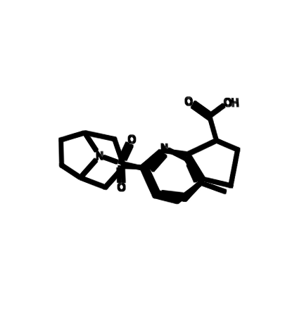 Cc1ccc(C2CC3CCC(C2)N3S(=O)(=O)c2ccc3c(c2)C(C(=O)O)CC3)nc1